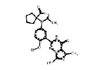 CCCc1nc(C)c2c(=O)[nH]c(-c3cc(N(C(C)=S)C4(C(=O)CC)CCCC4)ccc3OCC)nn12